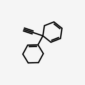 C#CC1(C2=CCCCC2)C=CC=CC1